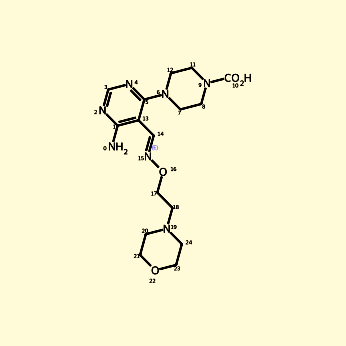 Nc1ncnc(N2CCN(C(=O)O)CC2)c1/C=N/OCCN1CCOCC1